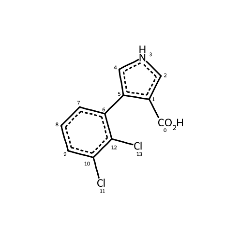 O=C(O)c1c[nH]cc1-c1cccc(Cl)c1Cl